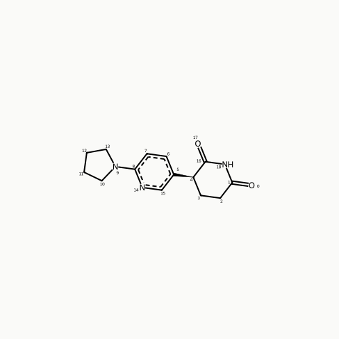 O=C1CC[C@@H](c2ccc(N3CCCC3)nc2)C(=O)N1